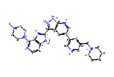 CN1CCN(c2nccc3[nH]c(-c4n[nH]c5ncc(-c6cncc(CN7CCCCC7)c6)cc45)nc23)CC1